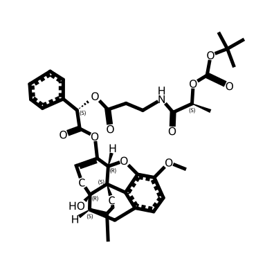 COc1ccc2c3c1O[C@H]1C(OC(=O)[C@@H](OC(=O)CCNC(=O)[C@H](C)OC(=O)OC(C)(C)C)c4ccccc4)=CC[C@@]4(O)[C@@H](C2)C(C)CC[C@]314